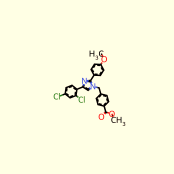 COC(=O)c1ccc(Cn2cc(-c3ccc(Cl)cc3Cl)nc2-c2ccc(OC)cc2)cc1